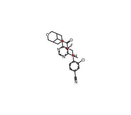 CCCOC(=O)N1CC2COCC(C1)C2Oc1ncnc(Nc2ccc(C#N)cc2Cl)c1F